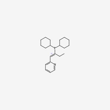 CC/C(=C\c1ccccn1)P(C1CCCCC1)C1CCCCC1